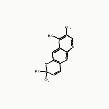 Cc1cnc2cc3c(cc2c1C)OC(C)(C)C=C3